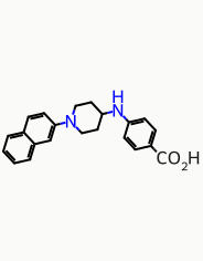 O=C(O)c1ccc(NC2CCN(c3ccc4ccccc4c3)CC2)cc1